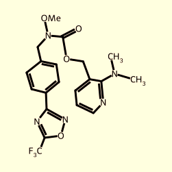 CON(Cc1ccc(-c2noc(C(F)(F)F)n2)cc1)C(=O)OCc1cccnc1N(C)C